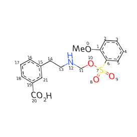 COc1ccccc1S(=O)(=O)OCNCCc1cccc(C(=O)O)c1